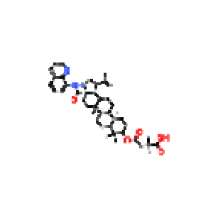 C=C(C)[C@@H]1CC[C@]2(C(=O)Nc3cccc4cccnc34)CC[C@]3(C)C(CCC4[C@@]5(C)CCC(OC(=O)CC(C)(C)C(=O)O)C(C)(C)C5CC[C@]43C)C12